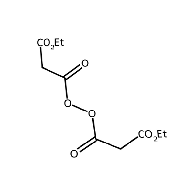 CCOC(=O)CC(=O)OOC(=O)CC(=O)OCC